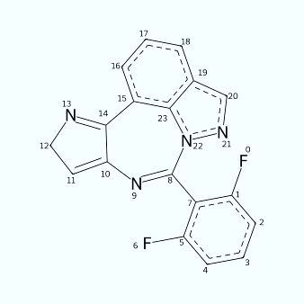 Fc1cccc(F)c1C1=NC2=CCN=C2c2cccc3cnn1c23